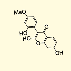 COc1ccc(-c2c(O)oc3cc(O)ccc3c2=O)c(O)c1